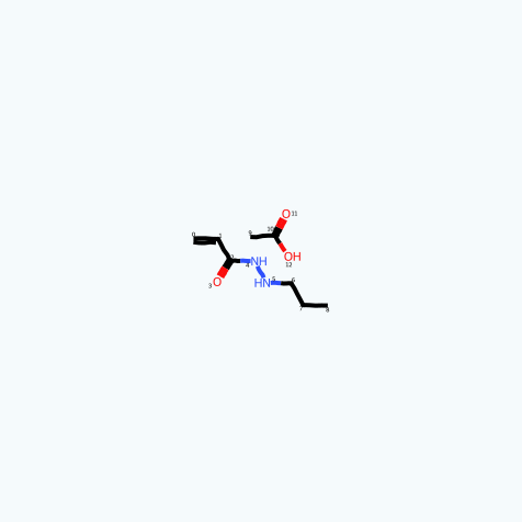 C=CC(=O)NNCCC.CC(=O)O